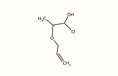 C=CCOC(C)C(O)Cl